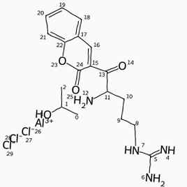 CC(C)O.N=C(N)NCCCC(N)C(=O)c1cc2ccccc2oc1=O.[Al+3].[Cl-].[Cl-].[Cl-]